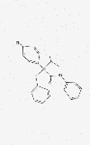 CC(C)C(Cc1ccccc1)(C(=O)Oc1ccccc1)c1ccc(Cl)cc1